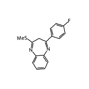 CSC1=Nc2ccccc2N=C(c2ccc(F)cc2)C1